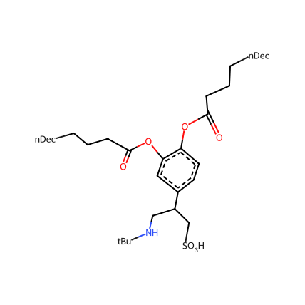 CCCCCCCCCCCCCC(=O)Oc1ccc(C(CNC(C)(C)C)CS(=O)(=O)O)cc1OC(=O)CCCCCCCCCCCCC